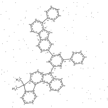 CC1(C)c2ccccc2-c2c1ccc1c2c2ccccc2n1-c1nc(-c2ccccc2)nc(-c2ccc3c(c2)oc2c(-c4ccccc4)cccc23)n1